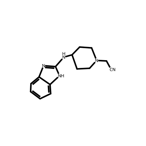 N#CCN1CCC(Nc2nc3ccccc3[nH]2)CC1